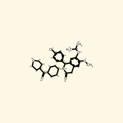 COc1cc2c(cc1OC(C)C)C(c1ccc(Cl)cc1)N([C@H]1CC[C@H](C(=O)C3CCOCC3)CC1)C(=O)C2